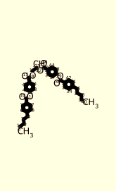 CCCCCc1ccc(C(=O)Oc2ccc(C(=O)OCC(C)OC(=O)c3ccc(OC(=O)c4ccc(CCCCC)cc4)cc3)cc2)cc1